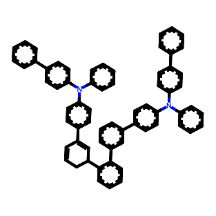 C1=CC(c2ccc(N(c3ccccc3)c3ccc(-c4ccccc4)cc3)cc2)=CC(c2ccccc2-c2cccc(-c3ccc(N(c4ccccc4)c4ccc(-c5ccccc5)cc4)cc3)c2)C1